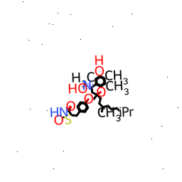 Cc1c(C)c2c(c(C)c1O)/C(=N/O)CC(CCC(C)CCCC(C)C)(COc1ccc(CC3SC(=O)NC3=O)cc1)O2